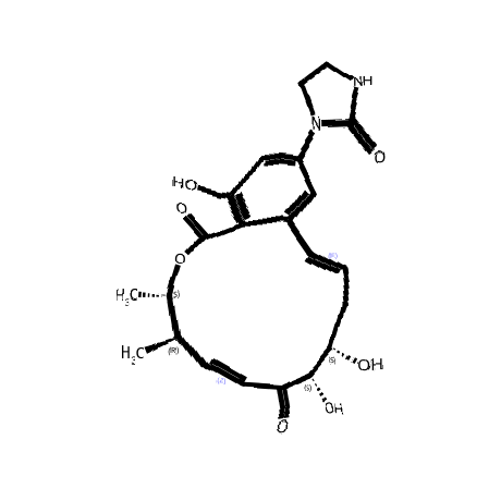 C[C@@H]1/C=C\C(=O)[C@@H](O)[C@@H](O)C/C=C/c2cc(N3CCNC3=O)cc(O)c2C(=O)O[C@H]1C